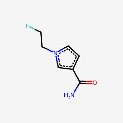 NC(=O)c1ccn(CCF)c1